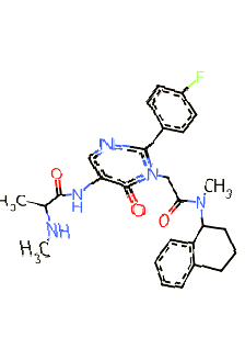 CNC(C)C(=O)Nc1cnc(-c2ccc(F)cc2)n(CC(=O)N(C)C2CCCc3ccccc32)c1=O